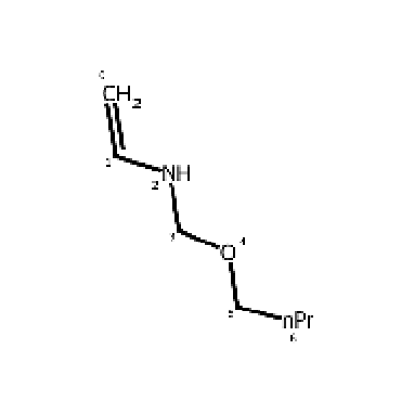 C=CNCOCCCC